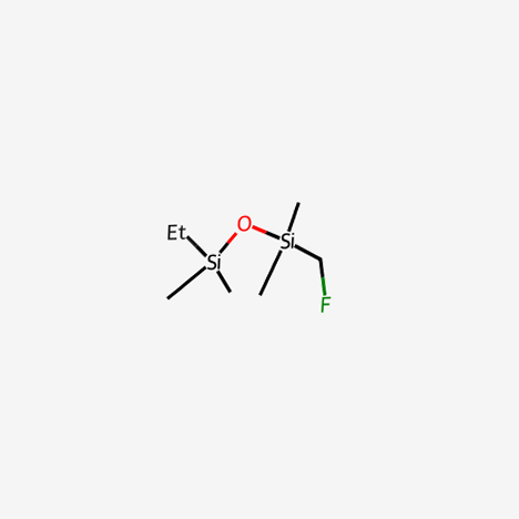 CC[Si](C)(C)O[Si](C)(C)CF